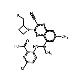 Cc1cc([C@@H](C)Nc2ccc(Cl)nc2C(=O)O)c2nc(N3CCC3CF)c(C#N)nc2c1